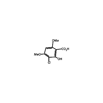 COc1cc(OC)c(C(=O)O)c(O)c1Cl